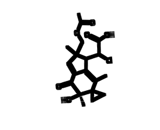 CC(=O)OCC1(C)C=C2C(=O)[C@](C)(O)C3(CC3)C(C)=C2C1C(Cl)C(=O)O